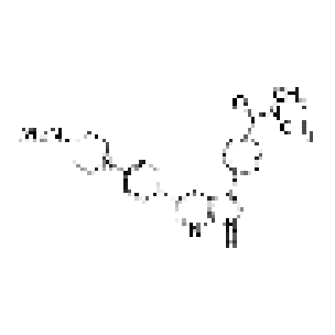 CNC1CCN(c2ccc(-c3cnc4[nH]cc(-c5ccc(C(=O)N(C)C)cc5)c4c3)cc2)CC1